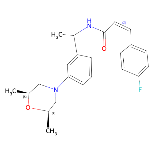 CC(NC(=O)/C=C\c1ccc(F)cc1)c1cccc(N2C[C@@H](C)O[C@@H](C)C2)c1